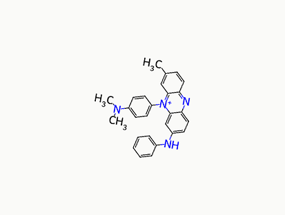 Cc1ccc2nc3ccc(Nc4ccccc4)cc3[n+](-c3ccc(N(C)C)cc3)c2c1